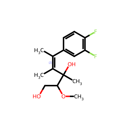 COC(CO)C(C)(O)/C(C)=C(/C)c1ccc(F)c(F)c1